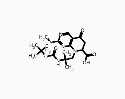 CSc1ncc2c(n1)N(CC(C)(C)NC(=O)OC(C)(C)C)C(C(=O)O)CC2=O